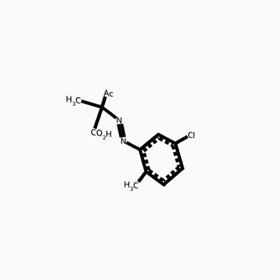 CC(=O)C(C)(/N=N/c1cc(Cl)ccc1C)C(=O)O